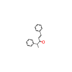 CC(C(=O)/C=C/c1ccccc1)c1ccccc1